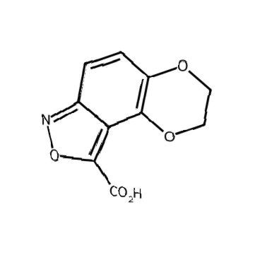 O=C(O)c1onc2ccc3c(c12)OCCO3